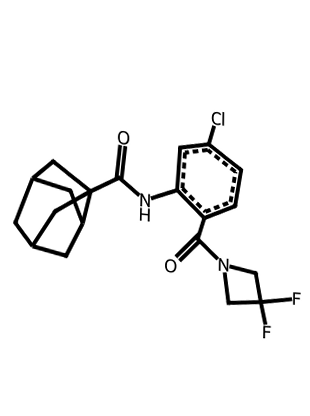 O=C(c1ccc(Cl)cc1NC(=O)C12CC3CC(CC1C3)C2)N1CC(F)(F)C1